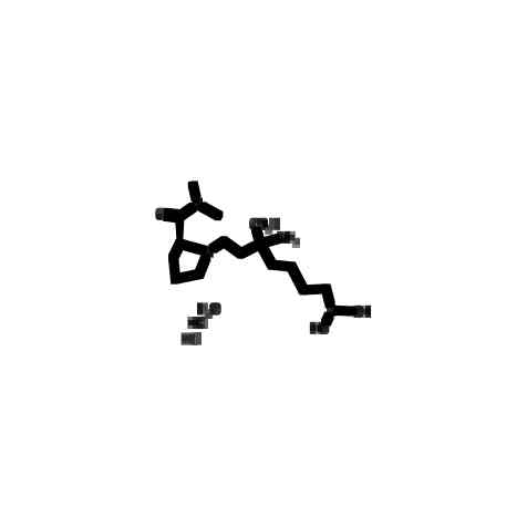 CN(C)C(=O)[C@@H]1CCCN1CCC(N)(CCCCB(O)O)C(=O)O.Cl.Cl.O